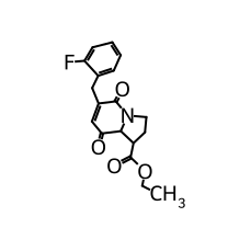 CCOC(=O)C1CCN2C(=O)C(Cc3ccccc3F)=CC(=O)C12